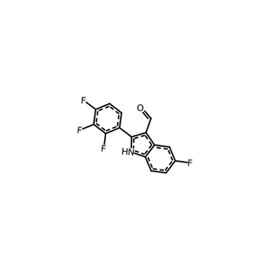 O=Cc1c(-c2ccc(F)c(F)c2F)[nH]c2ccc(F)cc12